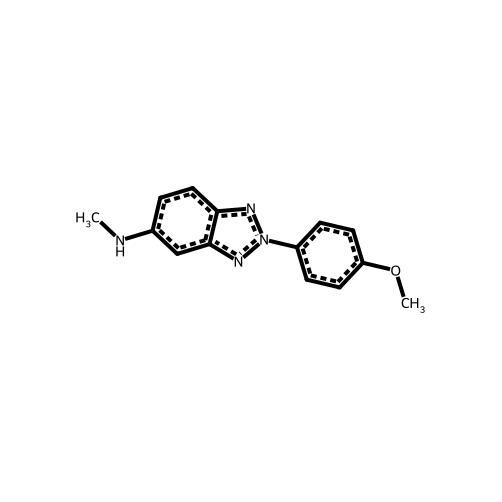 CNc1ccc2nn(-c3ccc(OC)cc3)nc2c1